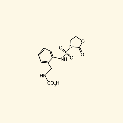 O=C(O)NCc1ccccc1NS(=O)(=O)N1CCOC1=O